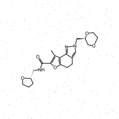 Cc1c(C(=O)NC[C@@H]2CCCO2)oc2c1-c1nn(C[C@@H]3COCCO3)cc1CC2